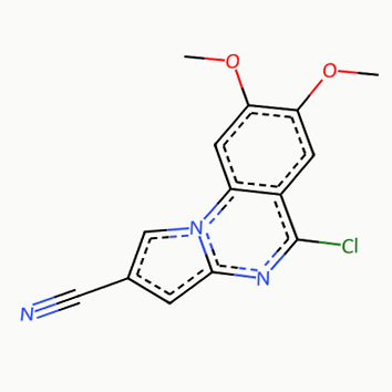 COc1cc2c(Cl)nc3cc(C#N)cn3c2cc1OC